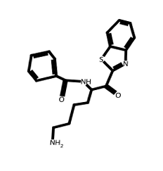 NCCCCC(NC(=O)c1ccccc1)C(=O)c1nc2ccccc2s1